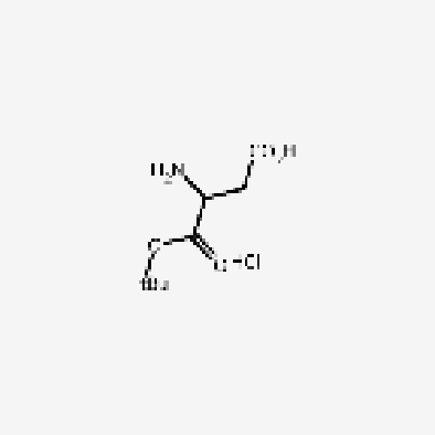 CC(C)(C)OC(=O)C(N)CC(=O)O.Cl